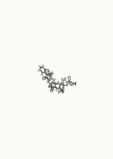 O=C(O)C1CCN(c2cc(N3CCN(C(=O)N(c4ccccc4)C(F)(F)F)CC3)c([N+](=O)[O-])cc2C(F)(F)F)CC1